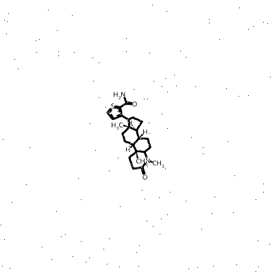 CN1C(=O)CC[C@@]2(C)C1CC[C@@H]1[C@H]2CC[C@]2(C)C(c3ccsc3C(N)=O)CC[C@@H]12